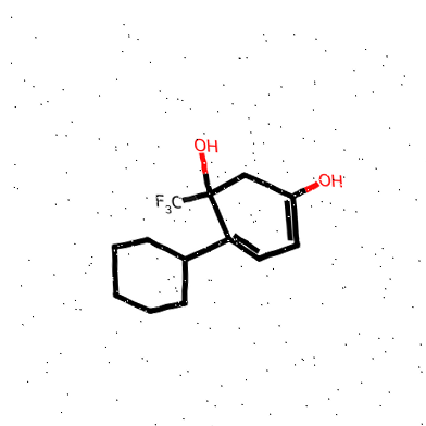 OC1=CC=C(C2CCCCC2)C(O)(C(F)(F)F)C1